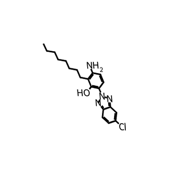 CCCCCCCCc1c(N)ccc(-n2nc3ccc(Cl)cc3n2)c1O